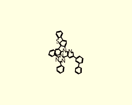 c1ccc(-c2cccc(-c3cnc(-n4c5ccccc5c5c6sc7ccccc7c6ccc54)c(-c4nc(-c5ccccc5)nc(-c5ccccc5)n4)c3)c2)cc1